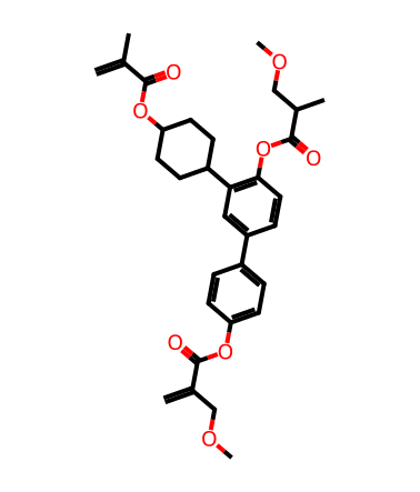 C=C(C)C(=O)OC1CCC(c2cc(-c3ccc(OC(=O)C(=C)COC)cc3)ccc2OC(=O)C(C)COC)CC1